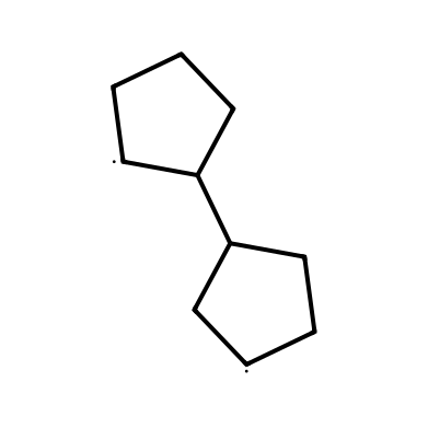 [CH]1CCC(C2[CH]CCC2)C1